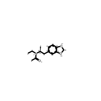 CCN(C(C)=O)[C@@H](C)Cc1ccc2c(c1)OCO2